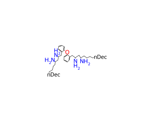 CCCCCCCCCCCCCCC(N)CC(N)Cc1ccccc1Oc1ccccc1CC(N)CC(N)CCCCCCCCCCCCCC